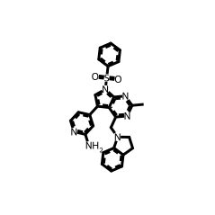 Cc1nc(CN2CCc3ccccc32)c2c(-c3ccnc(N)c3)cn(S(=O)(=O)c3ccccc3)c2n1